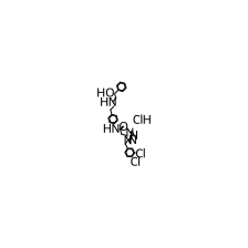 Cl.O=C(Cc1nnnn1Cc1ccc(Cl)c(Cl)c1)Nc1ccc(CCNCC(O)c2ccccc2)cc1